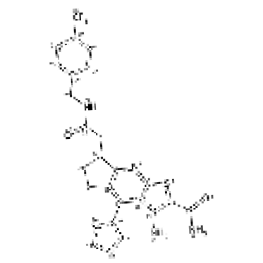 NC(=O)c1sc2nc3c(c(-c4cccs4)c2c1N)CCC3CC(=O)NCc1ccc(C(F)(F)F)cc1